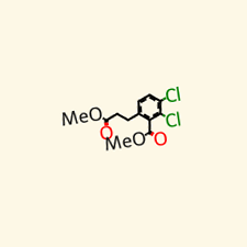 COC(=O)CCc1ccc(Cl)c(Cl)c1C(=O)OC